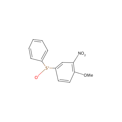 COc1ccc([S+]([O-])c2ccccc2)cc1[N+](=O)[O-]